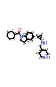 O=C(C1CCCCC1)N1CCc2cc([C@@H]3C[C@H]3NCC3CCNCC3)ccc21